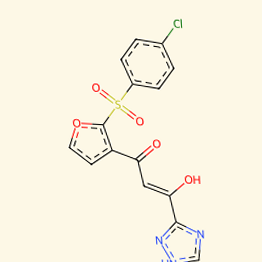 O=C(C=C(O)c1nc[nH]n1)c1ccoc1S(=O)(=O)c1ccc(Cl)cc1